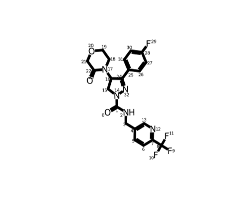 O=C(NCc1ccc(C(F)(F)F)nc1)N1CC(N2CCOCC2=O)C(c2ccc(F)cc2)=N1